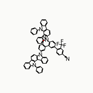 N#Cc1ccc(-c2ccc(-n3c4ccccc4c4c3ccc3c5ccccc5n(-c5ccccc5)c34)c(-c3cc(-n4c5ccccc5c5c4ccc4c6ccccc6n(-c6ccccc6)c45)ccc3C#N)c2)c(C(F)(F)F)c1